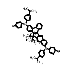 CC(C)c1ccc(N(c2ccc(F)cc2)c2ccc3cc4c(cc3c2)C(C(C)(C)C)(C(C)(C)C)c2c-4c3ccccc3c3cc(N(c4ccc(F)cc4)c4ccc(C(C)C)cc4)ccc23)cc1